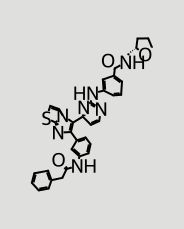 O=C(Cc1ccccc1)Nc1cccc(-c2nc3sccn3c2-c2ccnc(Nc3cccc(C(=O)NC[C@@H]4CCCO4)c3)n2)c1